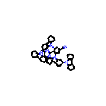 Cc1cc(C)nc(-c2c(-n3c4ccccc4c4ccc(-n5c6ccccc6c6ccccc65)cc43)cc(C#N)cc2-n2c3ccccc3c3ccc(-n4c5ccccc5c5ccccc54)cc32)n1